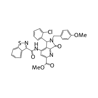 COC(=O)c1cc(NC(=O)c2nsc3ccccc23)c2c(n1)C(=O)N(Cc1ccc(OC)cc1)C2c1ccccc1Cl